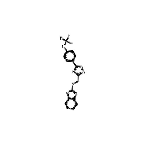 FC(F)(F)Oc1ccc(-c2noc(CSc3nc4ccccc4s3)n2)cc1